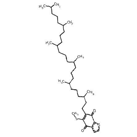 CSC1=C(CCC(C)CCCC(C)CCCC(C)CCCC(C)CCCC(C)CCCC(C)C)C(=O)c2sccc2C1=O